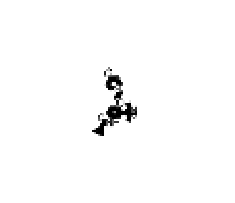 COC1CCN(CCOc2ccc(NC(=O)C3CC3)cc2-c2c(C)noc2C)CC1